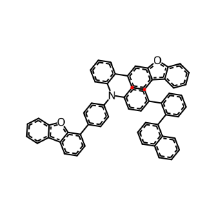 c1ccc(-c2cccc3ccccc23)c(-c2ccc(N(c3ccc(-c4cccc5c4oc4ccccc45)cc3)c3ccccc3-c3ccc4c(c3)oc3ccccc34)cc2)c1